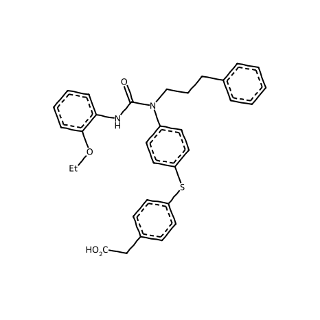 CCOc1ccccc1NC(=O)N(CCCc1ccccc1)c1ccc(Sc2ccc(CC(=O)O)cc2)cc1